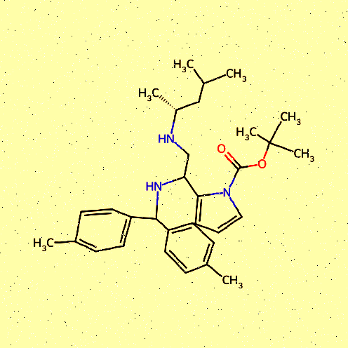 Cc1ccc(C(NC(CN[C@H](C)CC(C)C)c2cccn2C(=O)OC(C)(C)C)c2ccc(C)cc2)cc1